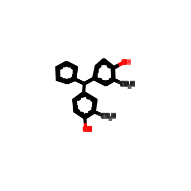 O=C(O)c1cc(C(c2ccccc2)c2ccc(O)c(C(=O)O)c2)ccc1O